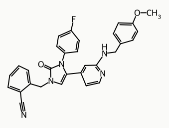 COc1ccc(CNc2cc(-c3cn(Cc4ccccc4C#N)c(=O)n3-c3ccc(F)cc3)ccn2)cc1